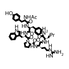 CC(=O)N[C@@H](Cc1ccc(O)cc1)C(=O)N[C@@H](Cc1ccccc1)C(=O)N[C@@H](Cc1c[nH]c2ccccc12)C(=O)N1CCC[C@H]1C(=O)N[C@@H](CCCNC(=N)N)C(=O)N[C@@H](CC(C)C)C(N)=O